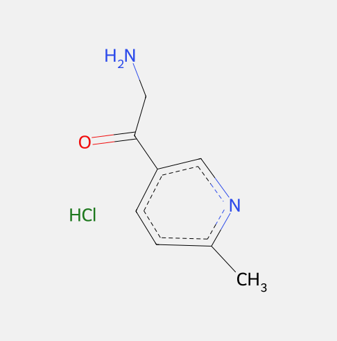 Cc1ccc(C(=O)CN)cn1.Cl